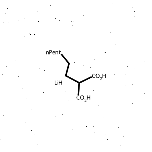 CCCCCCCC(C(=O)O)C(=O)O.[LiH]